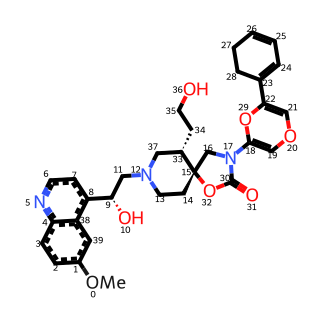 COc1ccc2nccc([C@@H](O)CN3CC[C@]4(CN(C5=COC=C(C6=CC=CCC6)O5)C(=O)O4)[C@@H](CCO)C3)c2c1